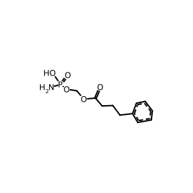 NP(=O)(O)OCOC(=O)CCCc1ccccc1